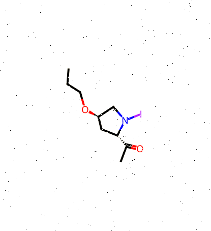 CCCO[C@@H]1C[C@@H](C(C)=O)N(I)C1